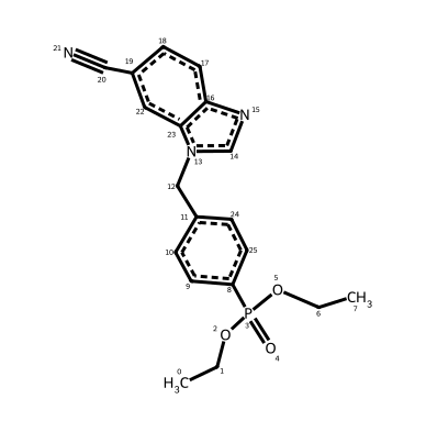 CCOP(=O)(OCC)c1ccc(Cn2cnc3ccc(C#N)cc32)cc1